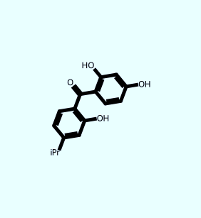 CC(C)c1ccc(C(=O)c2ccc(O)cc2O)c(O)c1